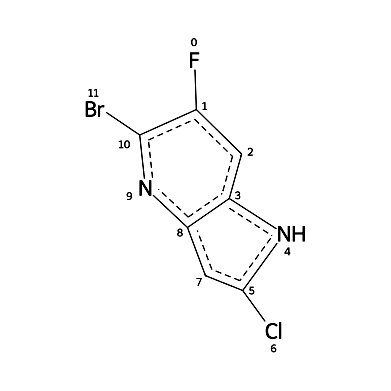 Fc1cc2[nH]c(Cl)cc2nc1Br